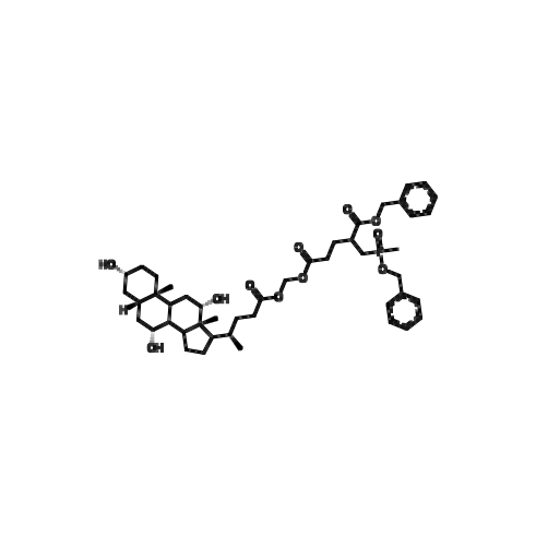 C[C@H](CCC(=O)OCOC(=O)CCC(CP(C)(=O)OCc1ccccc1)C(=O)OCc1ccccc1)C1CCC2C3C(C[C@H](O)[C@@]21C)[C@@]1(C)CC[C@@H](O)C[C@H]1C[C@H]3O